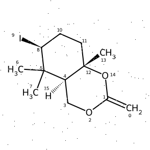 C=C1OC[C@H]2C(C)(C)[C@@H](I)CC[C@]2(C)O1